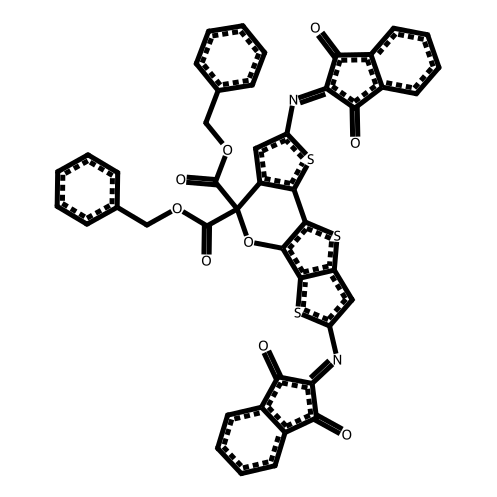 O=C(OCc1ccccc1)C1(C(=O)OCc2ccccc2)Oc2c(sc3cc(N=c4c(=O)c5ccccc5c4=O)sc23)-c2sc(N=c3c(=O)c4ccccc4c3=O)cc21